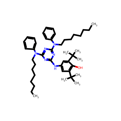 CCCCCCCCN(c1ccccc1)c1nc(Nc2cc(C(C)(C)C)c(O)c(C(C)(C)C)c2)nc(N(CCCCCCCC)c2ccccc2)n1